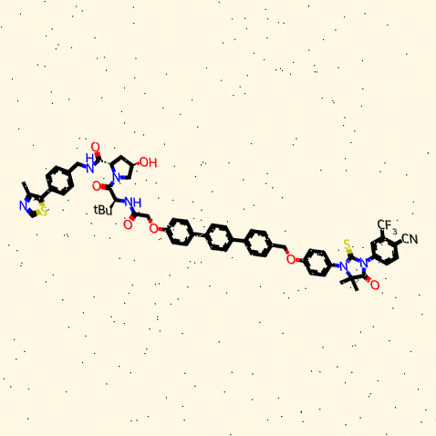 Cc1ncsc1-c1ccc(CNC(=O)[C@@H]2C[C@@H](O)CN2C(=O)[C@@H](NC(=O)COc2ccc(-c3ccc(-c4ccc(COc5ccc(N6C(=S)N(c7ccc(C#N)c(C(F)(F)F)c7)C(=O)C6(C)C)cc5)cc4)cc3)cc2)C(C)(C)C)cc1